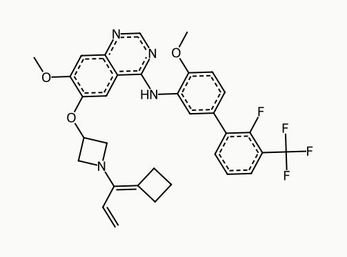 C=CC(=C1CCC1)N1CC(Oc2cc3c(Nc4cc(-c5cccc(C(F)(F)F)c5F)ccc4OC)ncnc3cc2OC)C1